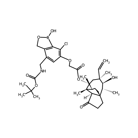 C=C[C@]1(C)C[C@@H](OC(=O)COc2cc(CNC(=O)OC(C)(C)C)c3c(c2Cl)B(O)OC3)[C@]2(C)[C@H](C)CC[C@]3(CCC(=O)[C@H]32)[C@@H](C)[C@@H]1O